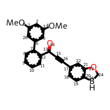 COc1cc(OC)cc(-c2ccccc2C(=O)C#Cc2ccc3c(c2)OCB3)c1